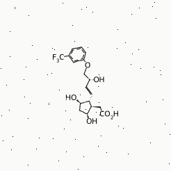 O=C(O)C[C@@H]1[C@@H](/C=C/[C@@H](O)COc2cccc(C(F)(F)F)c2)[C@H](O)C[C@@H]1O